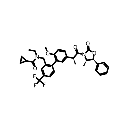 CCN(Cc1cc(C(F)(F)F)ccc1-c1cc([C@H](C)C(=O)N2C(=O)O[C@@H](c3ccccc3)[C@H]2C)ccc1OC)C(=O)C1CC1